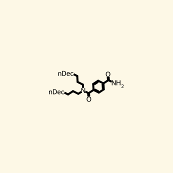 CCCCCCCCCCCCCN(CCCCCCCCCCCCC)C(=O)c1ccc(C(N)=O)cc1